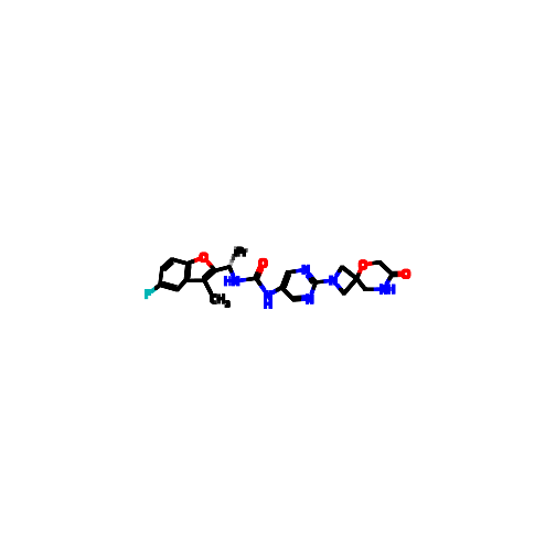 Cc1c([C@@H](NC(=O)Nc2cnc(N3CC4(CNC(=O)CO4)C3)nc2)C(C)C)oc2ccc(F)cc12